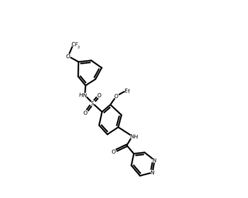 CCOc1cc(NC(=O)c2ccnnc2)ccc1S(=O)(=O)Nc1cccc(OC(F)(F)F)c1